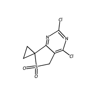 O=S1(=O)Cc2c(Cl)nc(Cl)nc2C12CC2